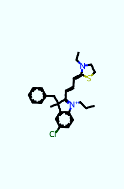 CCC[N+]1=C(/C=C/C=C2\SCCN2CC)C(C)(Cc2ccccc2)c2cc(Cl)ccc21